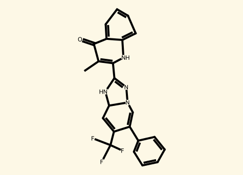 Cc1c(C2=NN3C=C(c4ccccc4)C(C(F)(F)F)=CC3N2)[nH]c2ccccc2c1=O